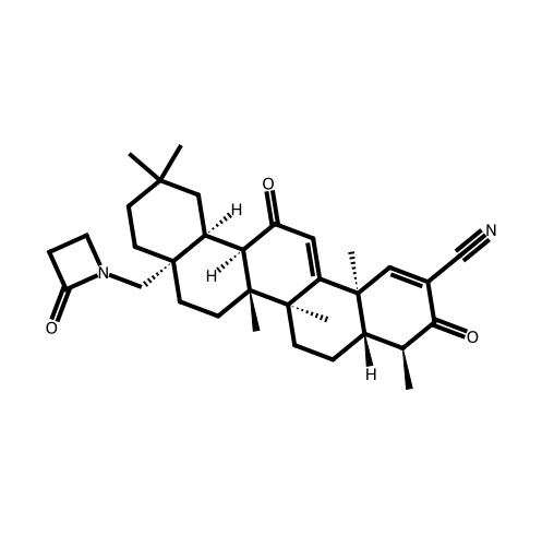 C[C@@H]1C(=O)C(C#N)=C[C@]2(C)C3=CC(=O)[C@@H]4[C@@H]5CC(C)(C)CC[C@]5(CN5CCC5=O)CC[C@@]4(C)[C@]3(C)CC[C@@H]12